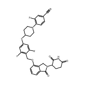 N#Cc1ccc(N2CCC(Sc3cc(F)c(COc4cccc5c4CN(C4CCC(=O)NC4=O)C5=O)c(F)c3)CC2)c(F)c1